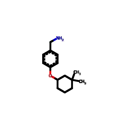 CC1(C)CCCC(Oc2ccc(CN)cc2)C1